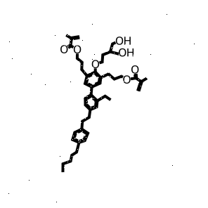 C=C(C)C(=O)OCCCc1cc(-c2ccc(CCc3ccc(CCCCC)cc3)cc2CC)cc(CCCOC(=O)C(=C)C)c1OCCC(CO)CO